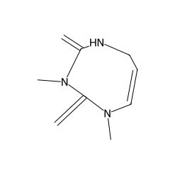 C=C1NCC=CN(C)C(=C)N1C